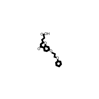 O=C(O)CCc1cc(=O)c2ccc(OCCCOc3ccccc3)cc2o1